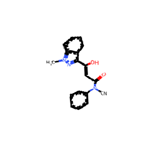 Cn1nc(C(O)=CC(=O)N(C#N)c2ccccc2)c2ccccc21